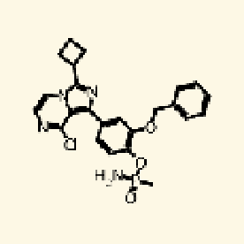 CP(N)(=O)Oc1ccc(-c2nc(C3CCC3)n3ccnc(Cl)c23)cc1OCc1ccccc1